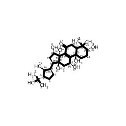 CC(C)(O)[C@H]1CC[C@H]([C@H]2C[C@H](O)[C@@]3(C)C4=C([C@H](O)C[C@]23C)[C@@]2(C)CC[C@@H](O)C(C)(C)C2CC4=O)[C@@H]1O